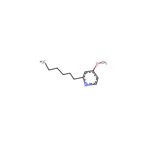 CCCCCCc1cc(OC)ccn1